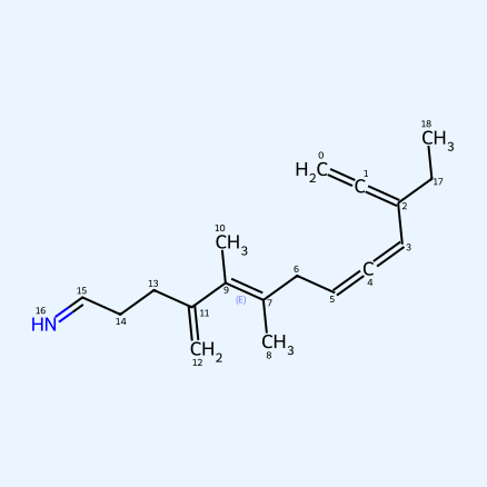 C=C=C(C=C=CC/C(C)=C(\C)C(=C)CCC=N)CC